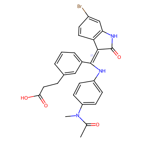 CC(=O)N(C)c1ccc(N/C(=C2\C(=O)Nc3cc(Br)ccc32)c2cccc(CCC(=O)O)c2)cc1